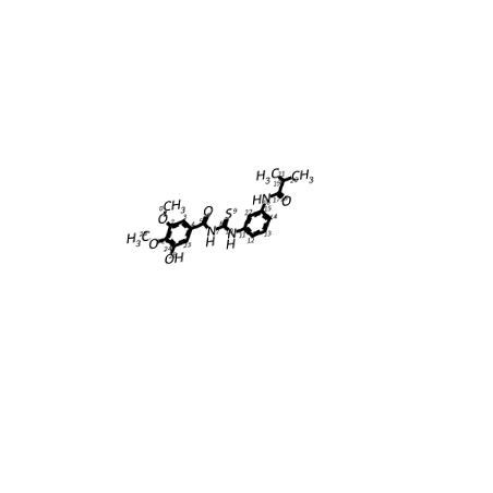 COc1cc(C(=O)NC(=S)Nc2cccc(NC(=O)C(C)C)c2)cc(O)c1OC